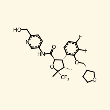 C[C@H]1[C@@H](c2ccc(F)c(F)c2OC[C@H]2CCOC2)[C@H](C(=O)Nc2ccc(CO)nc2)O[C@@]1(C)C(F)(F)F